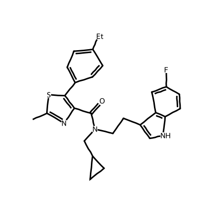 CCc1ccc(-c2sc(C)nc2C(=O)N(CCc2c[nH]c3ccc(F)cc23)CC2CC2)cc1